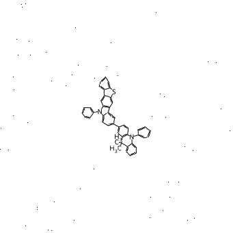 CC1(C)c2ccccc2N(c2ccccc2)c2ccc(-c3ccc4c(c3)c3cc5sc6ccccc6c5cc3n4-c3ccccc3)cc21